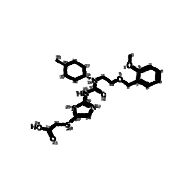 COc1ccccc1COCCN(C(=O)Nc1ncc(SCC(=O)O)s1)[C@H]1CC[C@H](C)CC1